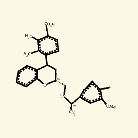 COc1cc([C@@H](C)NC[C@H]2CC(c3ccc(C(=O)O)c(C)c3C)c3ccccc3O2)ccc1F